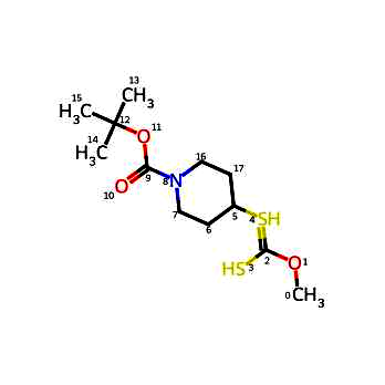 COC(S)=[SH]C1CCN(C(=O)OC(C)(C)C)CC1